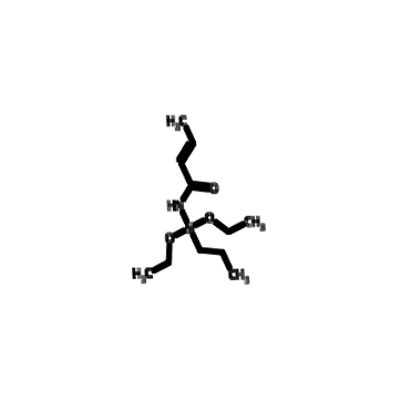 CC=CC(=O)N[Si](CCC)(OCC)OCC